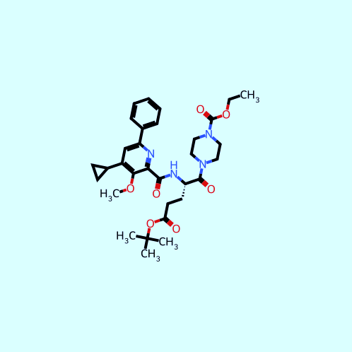 CCOC(=O)N1CCN(C(=O)[C@H](CCC(=O)OC(C)(C)C)NC(=O)c2nc(-c3ccccc3)cc(C3CC3)c2OC)CC1